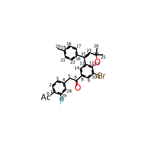 CC(=O)c1ccc(CC(=O)c2cc(Br)c3c(c2)C(c2ccc(C)cc2)=CC(C)(C)O3)cc1F